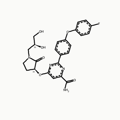 NC(=O)c1cc(O[C@H]2CCN(C[C@H](O)CO)C2=O)nc(-c2ccc(Oc3ccc(F)cc3)cc2)n1